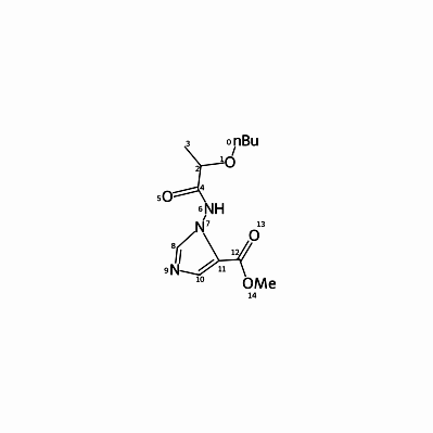 CCCCOC(C)C(=O)Nn1cncc1C(=O)OC